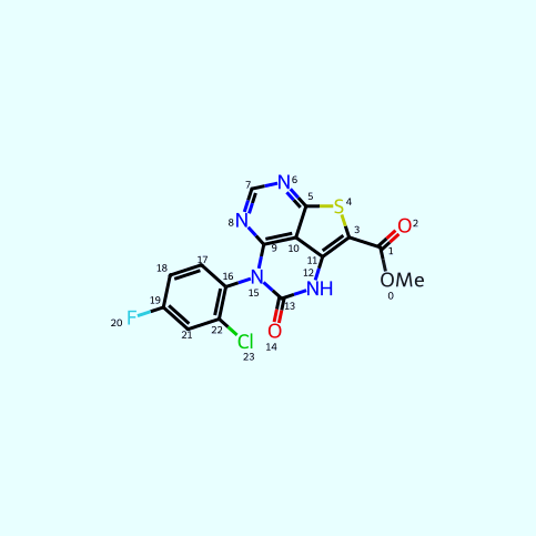 COC(=O)c1sc2ncnc3c2c1NC(=O)N3c1ccc(F)cc1Cl